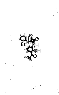 CC[C@@H]1CCCC[C@H]1Nc1c(Nc2cccc(C(=O)N(C)C)c2O)c(=O)c1=O